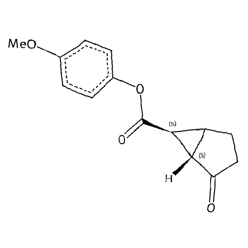 COc1ccc(OC(=O)[C@H]2C3CCC(=O)[C@@H]32)cc1